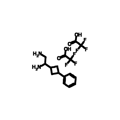 NCC(N)C1CC(c2ccccc2)C1.O=C(O)C(F)(F)F.O=C(O)C(F)(F)F